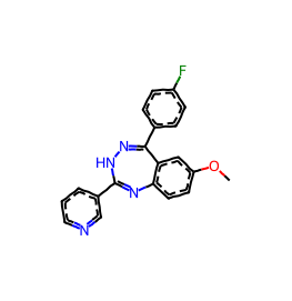 COc1ccc2c(c1)C(c1ccc(F)cc1)=NNC(c1cccnc1)=N2